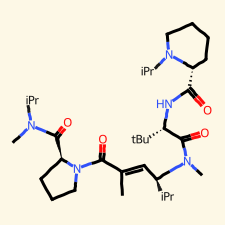 C/C(=C\[C@H](C(C)C)N(C)C(=O)[C@@H](NC(=O)[C@H]1CCCCN1C(C)C)C(C)(C)C)C(=O)N1CCC[C@H]1C(=O)N(C)C(C)C